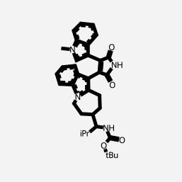 CC(C)C(NC(=O)OC(C)(C)C)C1CCc2c(C3=C(c4cn(C)c5ccccc45)C(=O)NC3=O)c3ccccc3n2CC1